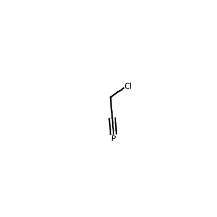 P#CCCl